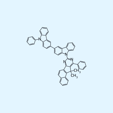 CC1(C)c2c(-c3ccccc3)nc(-n3c4ccccc4c4cc(-c5ccc6c(c5)c5ccccc5n6-c5ccccc5)ccc43)nc2-c2ccc3ccccc3c21